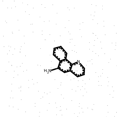 Nc1cc2cccnc2c2ccccc12